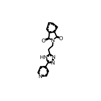 O=C1c2ccccc2C(=O)N1CCc1nnc(-c2ccncc2)[nH]1